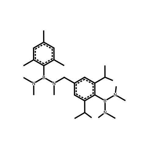 Cc1cc(C)c(B(N(C)C)N(C)Cc2cc(C(C)C)c(B(N(C)C)N(C)C)c(C(C)C)c2)c(C)c1